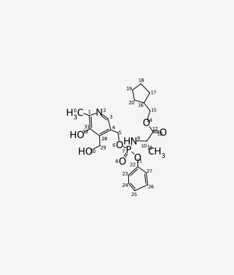 Cc1ncc(CO[P@@](=O)(N[C@@H](C)C(=O)OCC2CCCC2)Oc2ccccc2)c(CO)c1O